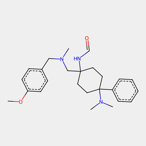 COc1ccc(CN(C)CC2(NC=O)CCC(c3ccccc3)(N(C)C)CC2)cc1